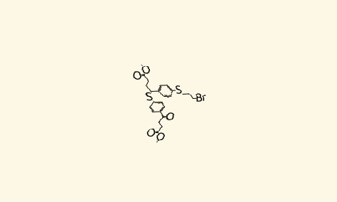 COC(=O)CCC(=O)c1ccc(SC(CCC(=O)OC)c2ccc(SCCCBr)cc2)cc1